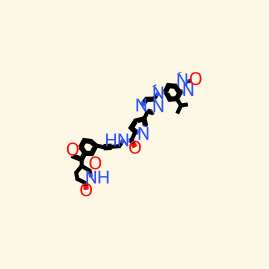 CC(C)c1cc(N(C)c2cnc(-c3ccc(C(=O)NCC#Cc4ccc5occ(C6CCC(=O)NC6=O)c5c4)nc3)cn2)cc2c1n(C)c(=O)n2C